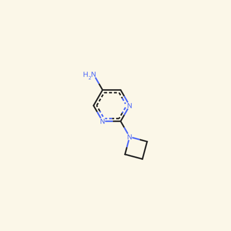 Nc1cnc(N2CCC2)nc1